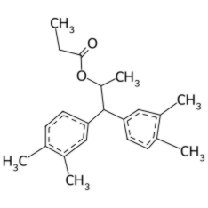 CCC(=O)OC(C)C(c1ccc(C)c(C)c1)c1ccc(C)c(C)c1